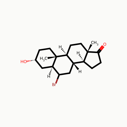 C[C@]12CC[C@@H](O)C[C@@H]1C(Br)C[C@@H]1[C@@H]2CC[C@]2(C)C(=O)CC[C@@H]12